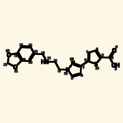 O=C(O)c1ccc(-c2ccn(CCNCc3ccc4c(c3)OCO4)n2)s1